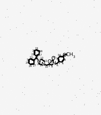 COc1ccc(CN2CC(CN3CCN(C(c4ccccc4)c4ccccc4)CC3)OC2=O)cc1